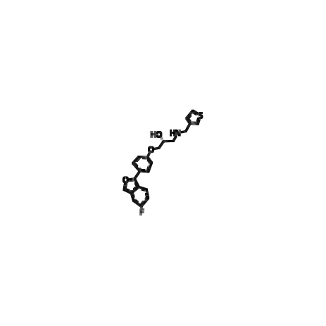 O[C@H](CNCc1ccsc1)COc1ccc(-c2occ3cc(F)ccc23)cc1